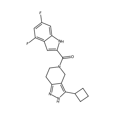 O=C(c1cc2c(F)cc(F)cc2[nH]1)N1CCc2n[nH]c(C3CCC3)c2C1